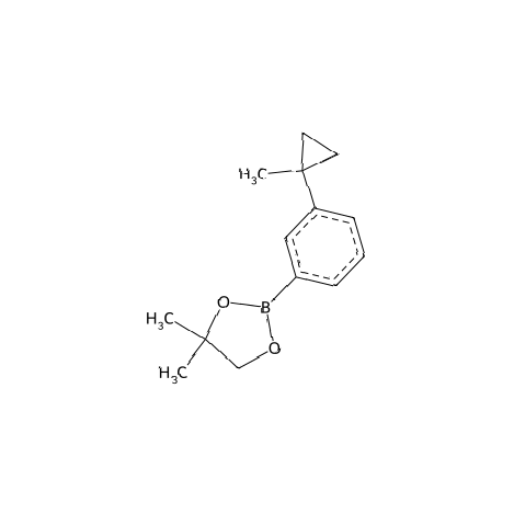 CC1(C)COB(c2cccc(C3(C)CC3)c2)O1